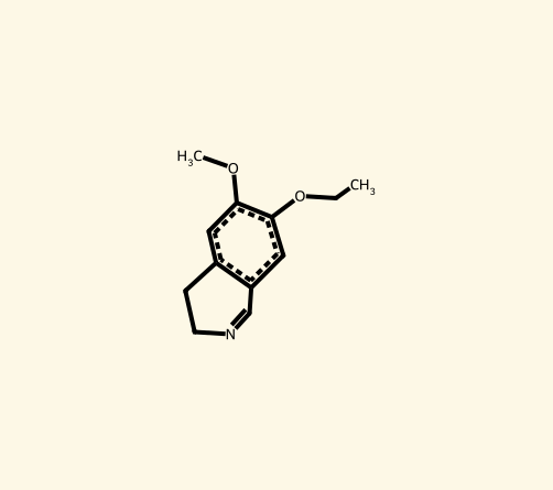 CCOc1cc2c(cc1OC)CCN=C2